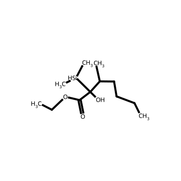 CCCCC(C)C(O)(C(=O)OCC)[SiH](C)C